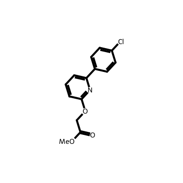 COC(=O)COc1cccc(-c2ccc(Cl)cc2)n1